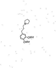 COc1ccc(CCCN2CCCC2)cc1OC